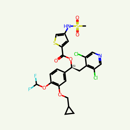 CS(=O)(=O)Nc1csc(C(=O)O[C@@H](Cc2c(Cl)cncc2Cl)c2ccc(OC(F)F)c(OCC3CC3)c2)c1